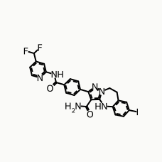 NC(=O)c1c(-c2ccc(C(=O)Nc3cc(C(F)F)ccn3)cc2)nn2c1Nc1ccc(I)cc1CC2